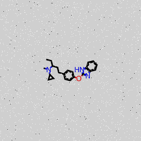 CCC(CCc1ccc(Oc2nc3ccccc3[nH]2)cc1)N(C)C1CC1